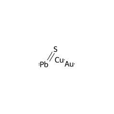 [Au].[Cu].[S]=[Pb]